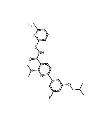 CC(C)COc1cc(F)cc(-c2ccc(C(=O)NSc3cccc(N)n3)c(N(C)C)n2)c1